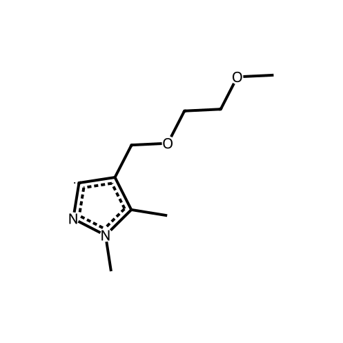 COCCOCc1[c]nn(C)c1C